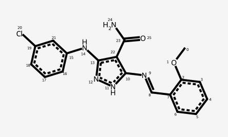 COc1ccccc1/C=N/c1[nH]nc(Nc2cccc(Cl)c2)c1C(N)=O